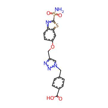 NS(=O)(=O)c1nc2ccc(OCc3cn(Cc4ccc(C(=O)O)cc4)nn3)cc2s1